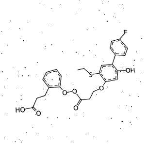 CCSc1cc(-c2ccc(F)cc2)c(O)cc1OCCC(=O)OOc1ccccc1CCC(=O)O